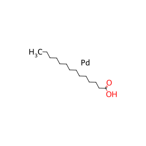 CCCCCCCCCCCCCC(=O)O.[Pd]